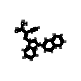 N#C/C(=C\c1cn(-c2ccc3ccccc3c2)c2ccccc12)C(=O)O